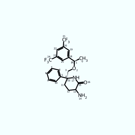 C[C@@H](OC[C@@]1(c2ccccc2)CCC(N)C(=O)N1)c1cc(C(F)(F)F)cc(C(F)(F)F)c1